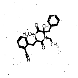 CCN1C(=O)C(Cc2ccccc2C#N)N(C)C(=O)C1(C)Cc1ccccc1